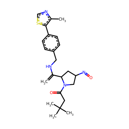 C=C(NCc1ccc(-c2scnc2C)cc1)C1CC(N=O)CN1C(=O)CC(C)(C)C